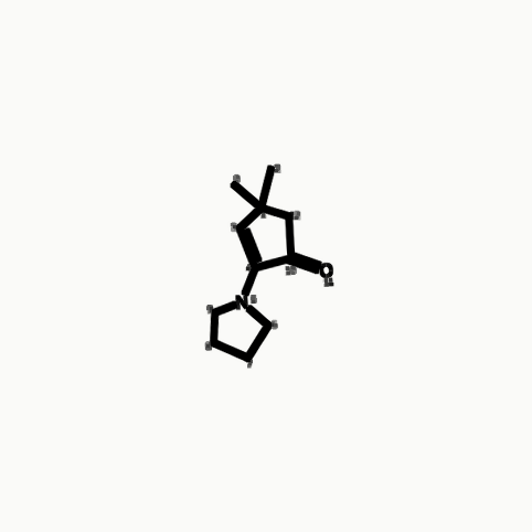 CC1(C)C=C(N2CCCC2)C(=O)C1